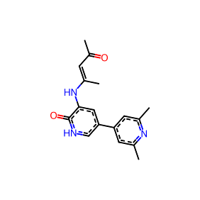 CC(=O)/C=C(\C)Nc1cc(-c2cc(C)nc(C)c2)c[nH]c1=O